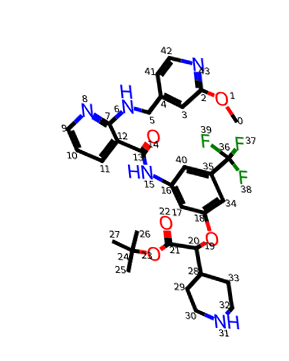 COc1cc(CNc2ncccc2C(=O)Nc2cc(OC(C(=O)OC(C)(C)C)C3CCNCC3)cc(C(F)(F)F)c2)ccn1